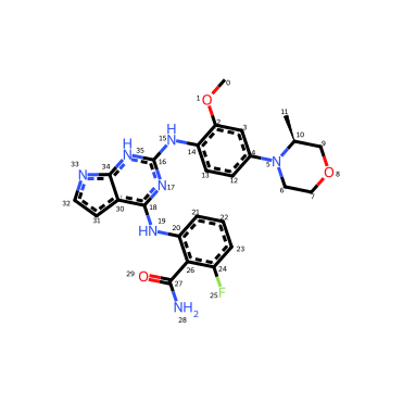 COc1cc(N2CCOC[C@@H]2C)ccc1Nc1nc(Nc2cccc(F)c2C(N)=O)c2ccnc-2[nH]1